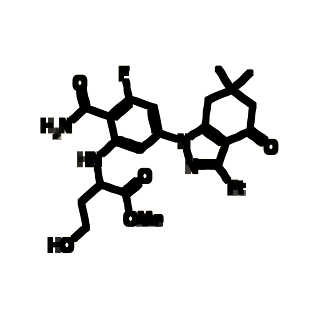 CCc1nn(-c2cc(F)c(C(N)=O)c(NC(CCO)C(=O)OC)c2)c2c1C(=O)CC(C)(C)C2